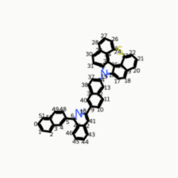 c1ccc2cc(-c3nc(-c4ccc5cc(-n6c7ccc8cccc9sc%10cccc%11ccc6c(c%11%10)c7c89)ccc5c4)cc4ccccc34)ccc2c1